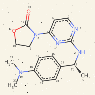 C[C@H](Nc1nccc(N2CCOC2=O)n1)c1ccc(N(C)C)cc1